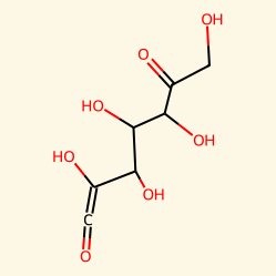 O=C=C(O)C(O)C(O)C(O)C(=O)CO